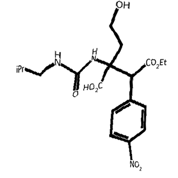 CCOC(=O)C(c1ccc([N+](=O)[O-])cc1)C(CCO)(NC(=O)NCC(C)C)C(=O)O